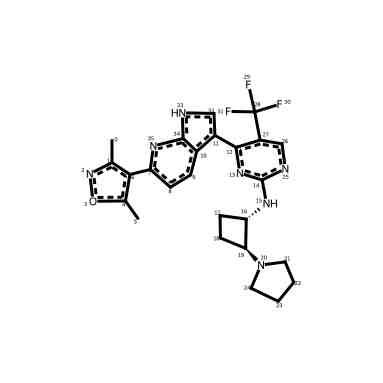 Cc1noc(C)c1-c1ccc2c(-c3nc(N[C@H]4CC[C@@H]4N4CCCC4)ncc3C(F)(F)F)c[nH]c2n1